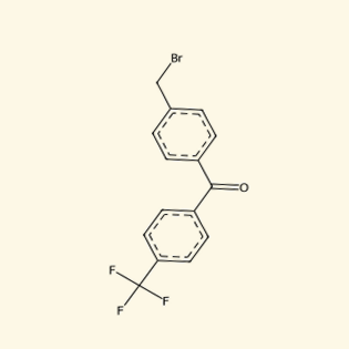 O=C(c1ccc(CBr)cc1)c1ccc(C(F)(F)F)cc1